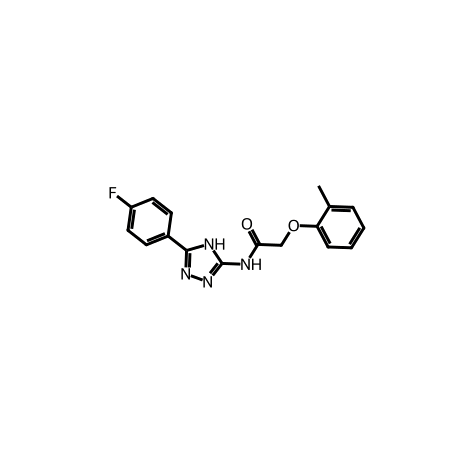 Cc1ccccc1OCC(=O)Nc1nnc(-c2ccc(F)cc2)[nH]1